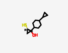 O[C@@]1(C2CCC(C3CC3)CC2)C[C@@H]1S